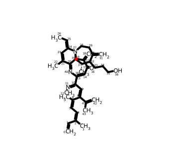 C=C\C(C)=C/C=C(C)\C(=C/C(=N\C)C1=CC(=O)C(=C)CC(/C(C)=C\C(=C/C)N2CCC(=C)C(CCCO)[C@H](C)C2)=N1)C(=C)C